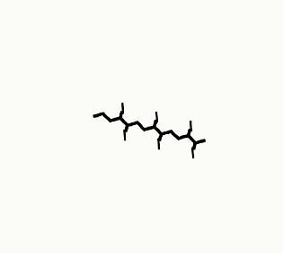 CCCC(I)C(I)CCC(I)C(I)CCC(I)C(C)I